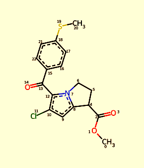 COC(=O)C1CCn2c1cc(Cl)c2C(=O)c1ccc(SC)cc1